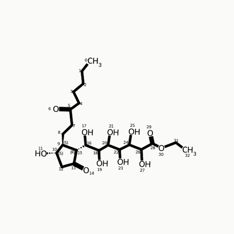 CCCCCC(=O)CC[C@@H]1[C@@H](O)CC(=O)[C@H]1C(O)C(O)C(O)C(O)C(O)C(O)C(=O)OCC